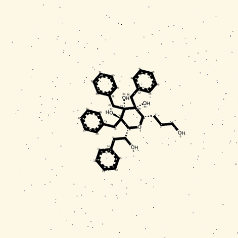 OCCC[C@@H]1O[C@H](C(O)Cc2ccccc2)[C@](O)(Cc2ccccc2)[C@@](O)(Cc2ccccc2)[C@@]1(O)Cc1ccccc1